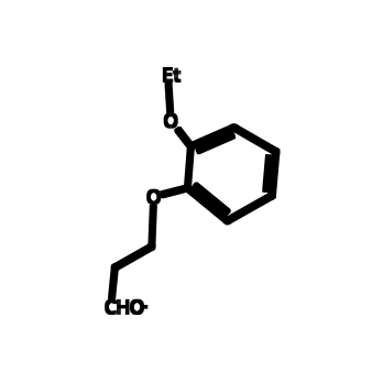 CCOc1ccccc1OCC[C]=O